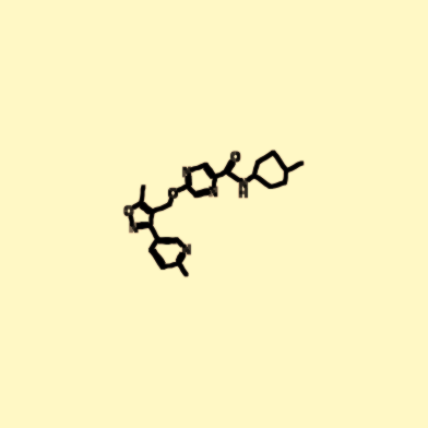 Cc1ccc(-c2noc(C)c2COc2cnc(C(=O)NC3CCC(C)CC3)cn2)cn1